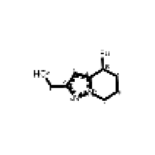 OCc1cc2n(n1)CCCC2F